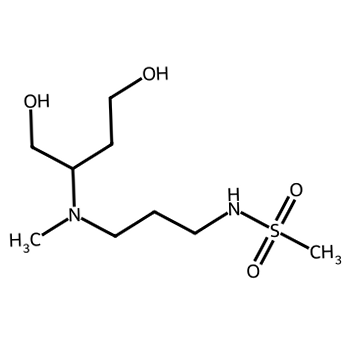 CN(CCCNS(C)(=O)=O)C(CO)CCO